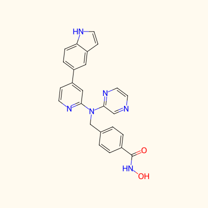 O=C(NO)c1ccc(CN(c2cnccn2)c2cc(-c3ccc4[nH]ccc4c3)ccn2)cc1